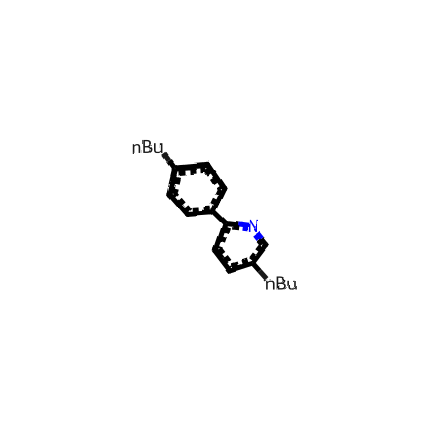 CCCCc1ccc(-c2ccc(CCCC)cn2)cc1